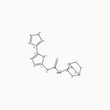 O=C(NC1CN2CCC1CC2)Oc1ccc(-c2ccoc2)o1